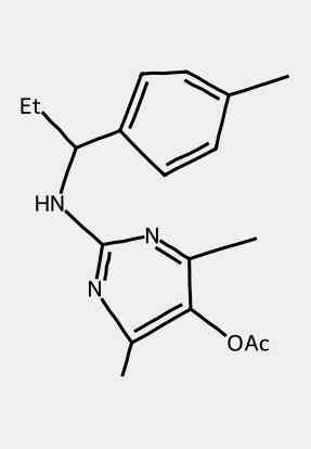 CCC(Nc1nc(C)c(OC(C)=O)c(C)n1)c1ccc(C)cc1